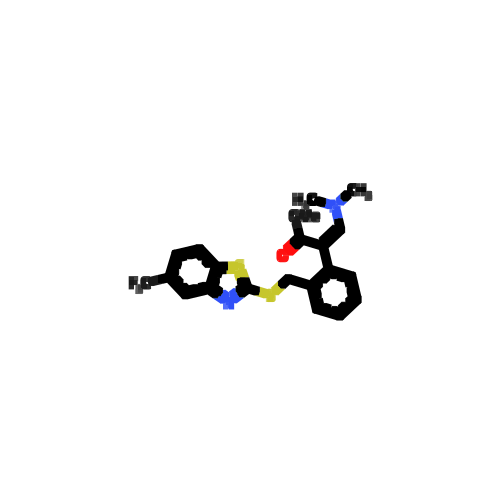 COC(=O)C(=CN(C)C)c1ccccc1CSc1nc2cc(C(F)(F)F)ccc2s1